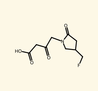 O=C(O)CC(=O)CN1CC(CF)CC1=O